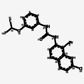 CC(C)c1c(NC(=O)Nc2ccnc(OC(F)F)c2)cnc2ccc(Cl)nc12